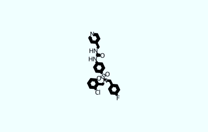 O=C(NCc1ccncc1)Nc1ccc(S(=O)(=O)N(Cc2ccc(F)cc2)Cc2ccccc2Cl)cc1